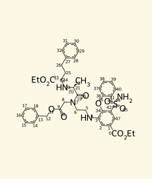 CCOC(=O)c1cc(NCCN(CC(=O)OCc2ccccc2)C(=O)[C@H](C)N[C@@H](CCc2ccccc2)C(=O)OCC)c(Oc2ccccc2)c(S(N)(=O)=O)c1